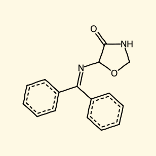 O=C1NCOC1N=C(c1ccccc1)c1ccccc1